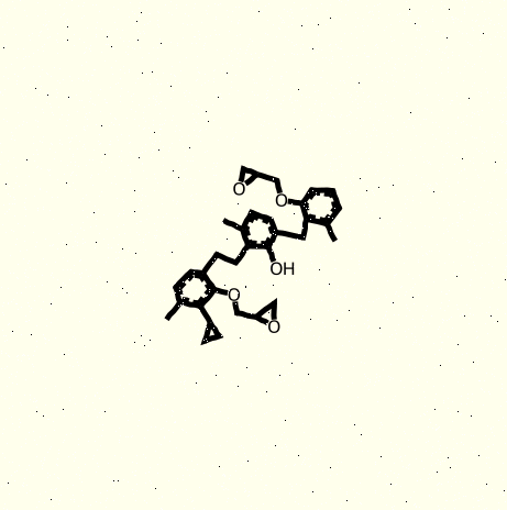 Cc1cccc(OCC2CO2)c1Cc1ccc(C)c(CCc2ccc(C)c(C3CC3)c2OCC2CO2)c1O